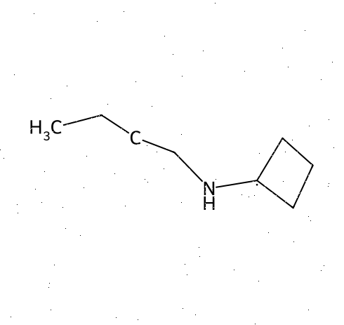 CCCCN[C]1CCC1